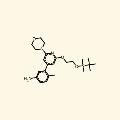 Cc1ccc(N)cc1-c1cc(OCCO[Si](C)(C)C(C)(C)C)nc(N2CCOCC2)c1